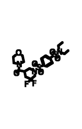 CCN(CC)S(=O)(=O)c1ccc(S(=O)(=O)N2CC(C(=O)N3CCOCC3)CC(F)(F)C2)cc1